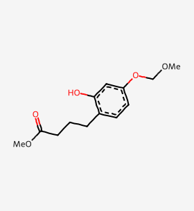 COCOc1ccc(CCCC(=O)OC)c(O)c1